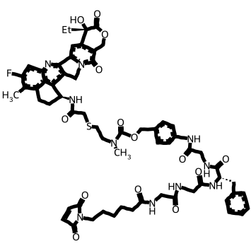 CC[C@@]1(O)C(=O)OCc2c1cc1n(c2=O)Cc2c-1nc1cc(F)c(C)c3c1c2[C@@H](NC(=O)CSCCN(C)C(=O)OCc1ccc(NC(=O)CNC(=O)[C@H](Cc2ccccc2)NC(=O)CNC(=O)CNC(=O)CCCCCN2C(=O)C=CC2=O)cc1)CC3